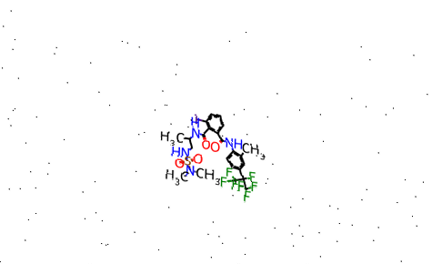 Cc1cc(C(F)(C(F)(F)F)C(F)(F)F)ccc1NC(=O)c1cccc(I)c1C(=O)NC(C)CNS(=O)(=O)N(C)C